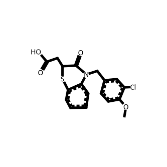 COc1ccc(CN2C(=O)C(CC(=O)O)Sc3ccccc32)cc1Cl